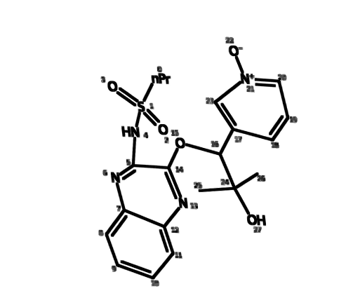 CCCS(=O)(=O)Nc1nc2ccccc2nc1OC(c1ccc[n+]([O-])c1)C(C)(C)O